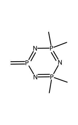 C=P1=NP(C)(C)=NP(C)(C)=N1